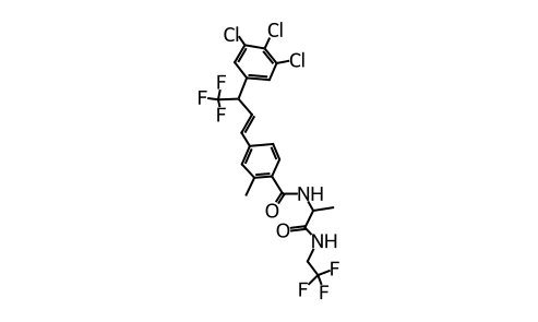 Cc1cc(/C=C/C(c2cc(Cl)c(Cl)c(Cl)c2)C(F)(F)F)ccc1C(=O)NC(C)C(=O)NCC(F)(F)F